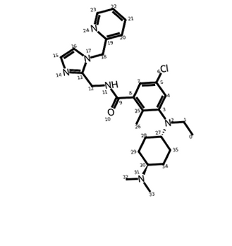 CCN(c1cc(Cl)cc(C(=O)NCc2nccn2Cc2ccccn2)c1C)[C@H]1CC[C@H](N(C)C)CC1